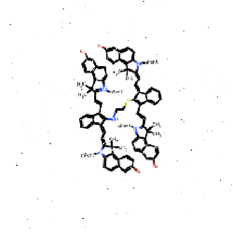 CCCCCN1/C(=C/C=C2C(NCCSC3=C(/C=C/C4=[N+](CCCCC)c5ccc6cc(Br)ccc6c5C4(C)C)c4ccccc4/C3=C\C=C3\N(CCCCC)c4ccc5cc(Br)ccc5c4C3(C)C)=C(/C=C/C3=[N+](CCCCC)c4ccc5cc(Br)ccc5c4C3(C)C)c3ccccc3/2)C(C)(C)c2c1ccc1cc(Br)ccc21